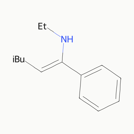 CCN/C(=C\C(C)CC)c1ccccc1